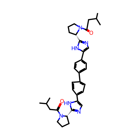 CC(C)CC(=O)N1CCC[C@H]1c1ncc(-c2ccc(-c3ccc(-c4cnc([C@@H]5CCCN5C(=O)CC(C)C)[nH]4)cc3)cc2)[nH]1